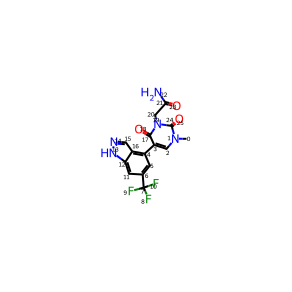 Cn1cc(-c2cc(C(F)(F)F)cc3[nH]ncc23)c(=O)n(CC(N)=O)c1=O